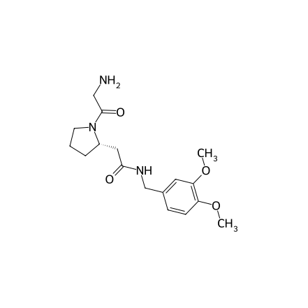 COc1ccc(CNC(=O)C[C@@H]2CCCN2C(=O)CN)cc1OC